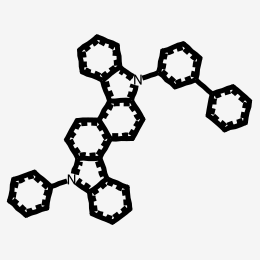 c1ccc(-c2cccc(-n3c4ccccc4c4c5ccc6c(c5ccc43)c3ccccc3n6-c3ccccc3)c2)cc1